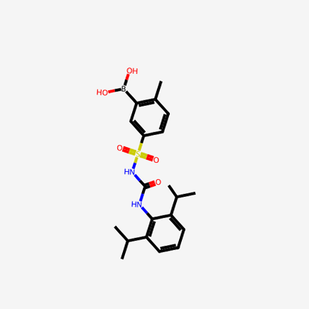 Cc1ccc(S(=O)(=O)NC(=O)Nc2c(C(C)C)cccc2C(C)C)cc1B(O)O